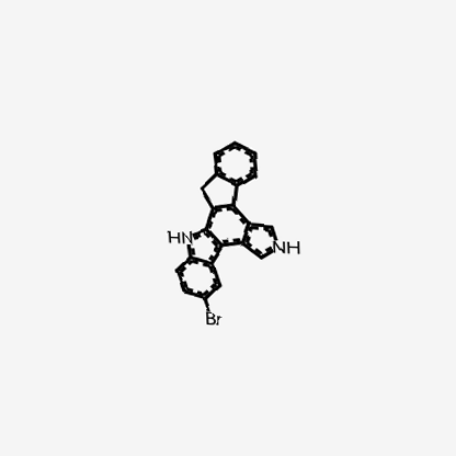 Brc1ccc2[nH]c3c4c(c5c[nH]cc5c3c2c1)-c1ccccc1C4